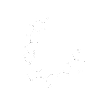 CC(C)CC(C(=O)NC(CCSCC(NC(=O)CC(C)(C)C)C(=O)O)C(=O)O)c1ccc(NC(=O)Nc2ccc(Cl)cc2)cc1